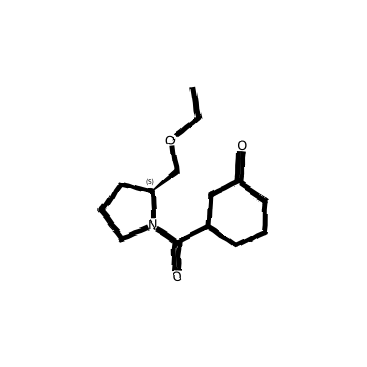 CCOC[C@@H]1CCCN1C(=O)C1CCCC(=O)C1